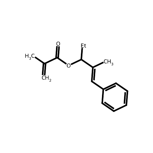 C=C(C)C(=O)OC(CC)/C(C)=C/c1ccccc1